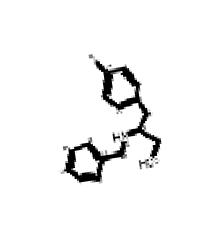 OCC(Cc1ccc(I)cc1)NCc1ccccc1